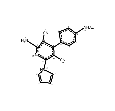 CC(=O)Nc1ccc(-c2c(C#N)c(N)nc([SH]3C=CC=C3)c2C#N)cc1